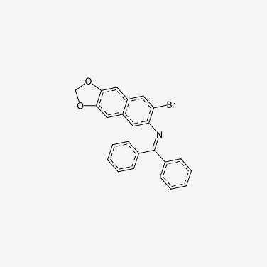 Brc1cc2cc3c(cc2cc1N=C(c1ccccc1)c1ccccc1)OCO3